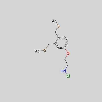 CC(=O)SCc1ccc(OCCNCl)cc1CSC(C)=O